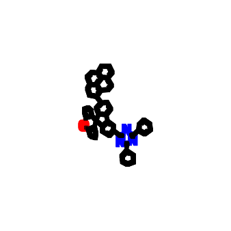 c1ccc(-c2nc(-c3ccccc3)nc(-c3ccc4c(c3)-c3ccc(-c5ccc6ccc7cccc8ccc5c6c78)cc3C43c4ccccc4Oc4ccccc43)n2)cc1